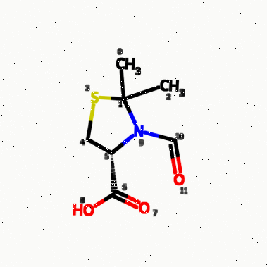 CC1(C)SC[C@@H](C(=O)O)N1C=O